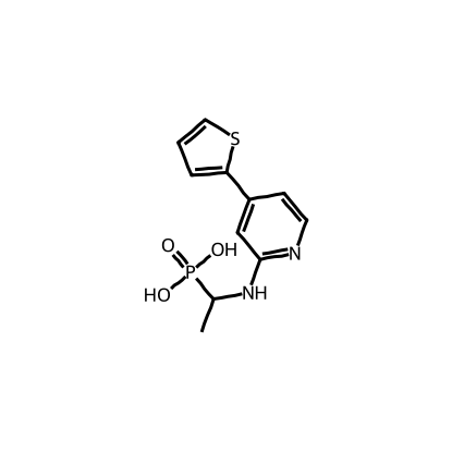 CC(Nc1cc(-c2cccs2)ccn1)P(=O)(O)O